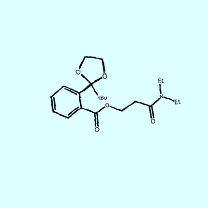 CCN(CC)C(=O)CCOC(=O)c1ccccc1C1(C(C)(C)C)OCCO1